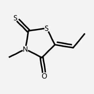 C/C=C1\SC(=S)N(C)C1=O